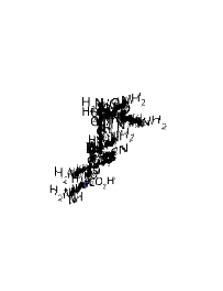 N#Cc1ccc(C[C@H](NC(=O)[C@@H]2CCCN2C(=O)[C@@H](CCCN)NC(=O)CNC(=O)[C@@H](NC(=O)[C@@H](NC(=O)[C@@H](N)CCCCN)[C@@H](O)CN)[C@@H](O)CN)C(=O)N[C@@H](CCCCN)C(=O)N/C(=C\CCNC(=N)N)C(=O)O)cc1